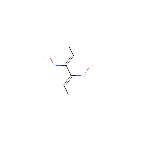 CC=C(NO)C(=CC)NO